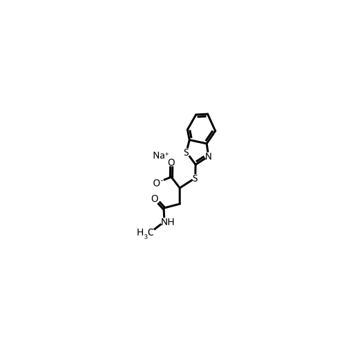 CNC(=O)CC(Sc1nc2ccccc2s1)C(=O)[O-].[Na+]